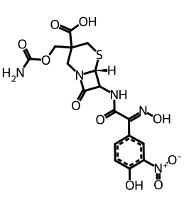 NC(=O)OCC1(C(=O)O)CS[C@@H]2C(NC(=O)C(=NO)c3ccc(O)c([N+](=O)[O-])c3)C(=O)N2C1